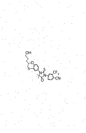 CC1(C)C(=O)N(c2ccc(C#N)c(C(F)(F)F)c2)C(=S)N1c1ccc2c(c1)SCC(CCCO)O2